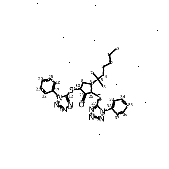 CCCCCC(C)(C)C1CC(Sc2nnnn2-c2ccccc2)C(=O)C1Sc1nnnn1-c1ccccc1